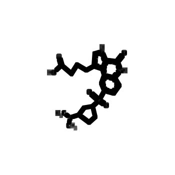 CN(C)C1CCC(S(=O)(=O)c2ccc3[nH]c(=O)c4[nH]cc(CCCC(=O)O)c4c3c2)C1